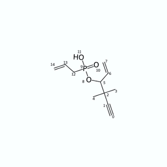 C#CC(C)(C)C(C=C)OP(=O)(O)CC=C